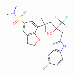 CN(C)S(=O)(=O)c1cc2c(c(C(C)(C)CC(O)(Cc3cc4cc(Br)ccc4[nH]3)C(F)(F)F)c1)OCC2